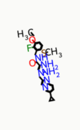 CCOc1ccc(SC)c(CNC(=O)/C(N)=C/N(N)Cc2cn3cc(C4CC4)ccc3n2)c1F